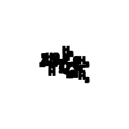 Cc1nnc2sc(C(O)NC3CC3)c(N)c2c1C